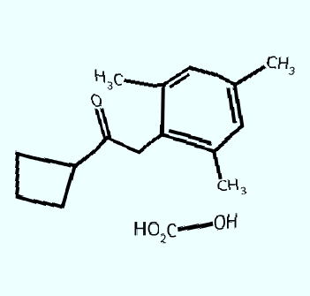 Cc1cc(C)c(CC(=O)C2CCC2)c(C)c1.O=C(O)O